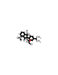 CC(C)c1ccc2c(c1)OC1(O)c3cccc([N+](=O)[O-])c3C(=O)C21NC(=O)CCl